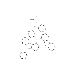 c1ccc(-n2c3ccccc3c3c(N(c4cccc5c4-c4ccccc4C54C5CC6CC(C5)CC4C6)c4cccc5c4sc4ccccc45)cccc32)cc1